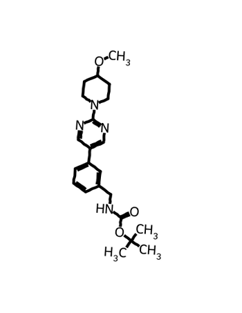 COC1CCN(c2ncc(-c3cccc(CNC(=O)OC(C)(C)C)c3)cn2)CC1